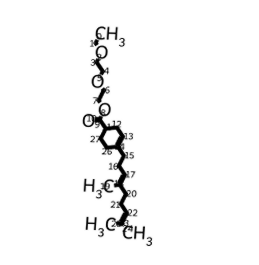 CCOCCOCCOC(=O)C1CC=C(CC/C=C(\C)CCC=C(C)C)CC1